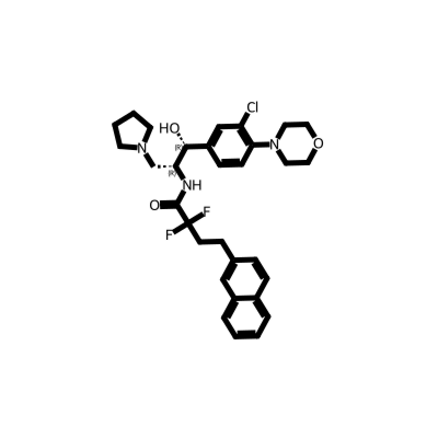 O=C(N[C@H](CN1CCCC1)[C@H](O)c1ccc(N2CCOCC2)c(Cl)c1)C(F)(F)CCc1ccc2ccccc2c1